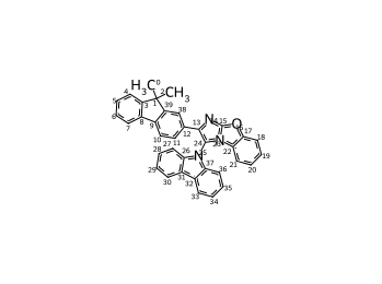 CC1(C)c2ccccc2-c2ccc(-c3nc4oc5ccccc5n4c3-n3c4ccccc4c4ccccc43)cc21